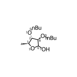 CCCCO[C@H]1[C@H](C)OC(O)[C@@H]1OCCCC